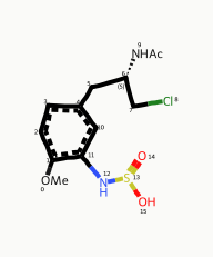 COc1ccc(C[C@@H](CCl)NC(C)=O)cc1NS(=O)O